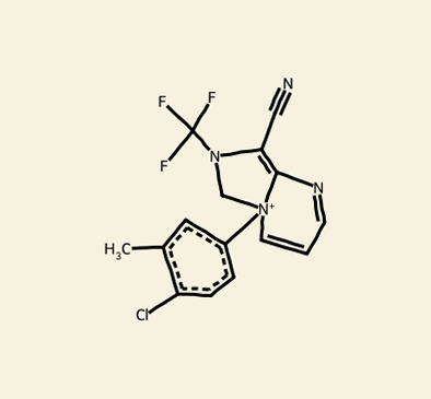 Cc1cc([N+]23C=CC=NC2=C(C#N)N(C(F)(F)F)C3)ccc1Cl